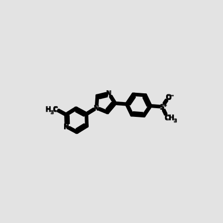 Cc1cc(-n2cnc(-c3ccc([S+](C)[O-])cc3)c2)ccn1